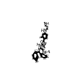 Cc1cc(N/C=N\C=N)ccc1-c1nnc(NC2N=C(c3ccccc3)c3ccccc3NC2=O)o1